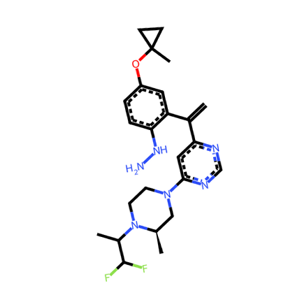 C=C(c1cc(N2CCN(C(C)C(F)F)[C@H](C)C2)ncn1)c1cc(OC2(C)CC2)ccc1NN